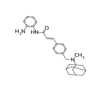 CN(Cc1ccc(/C=C/C(=O)Nc2ccccc2N)cc1)C12CC3CC(CC(C3)C1)C2